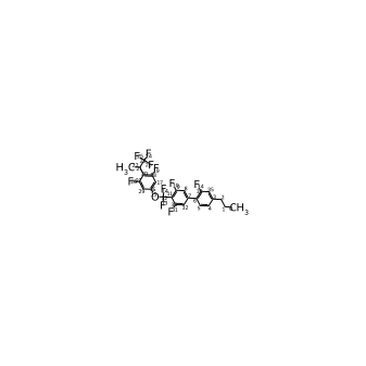 CCCc1ccc(-c2cc(F)c(C(F)(F)Oc3cc(F)c(C(C)C(F)(F)F)c(F)c3)c(F)c2)c(F)c1